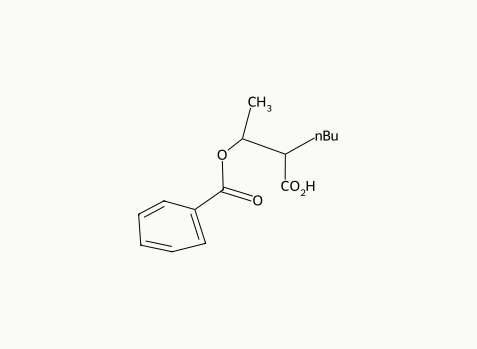 CCCCC(C(=O)O)C(C)OC(=O)c1ccccc1